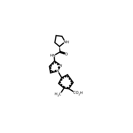 Cc1cc(-n2ccc(NC(=O)[C@H]3CCCN3)n2)ccc1C(=O)O